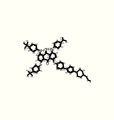 CCCC1CCC(c2ccc(-c3ccc(Sc4ccc(Nc5ccc(C(C)C)cc5)c5c4C(=O)c4c(Sc6ccc(C(C)(C)C)cc6)ccc(Nc6ccc(C(C)(C)C)cc6)c4C5=O)cc3)cc2)CC1